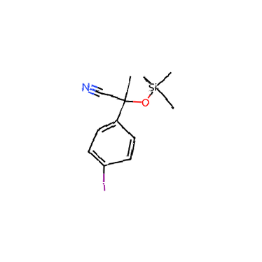 CC(C#N)(O[Si](C)(C)C)c1ccc(I)cc1